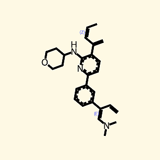 C=C/C(=C\N(C)C)c1cccc(-c2ccc(C(=C)/C=C\C)c(NC3CCOCC3)n2)c1